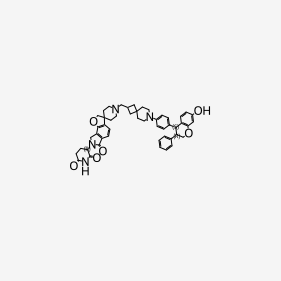 O=C1CC[C@@H](N2Cc3c(ccc4c3OCC43CCN(CC4CC5(CCN(c6ccc([C@H]7c8ccc(O)cc8OC[C@H]7c7ccccc7)cc6)CC5)C4)CC3)C2=O)C(=O)N1